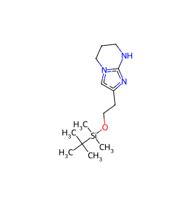 CC(C)(C)[Si](C)(C)OCCc1cn2c(n1)NCCC2